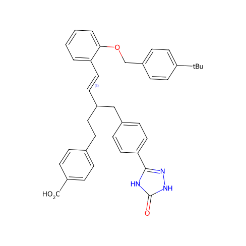 CC(C)(C)c1ccc(COc2ccccc2/C=C/C(CCc2ccc(C(=O)O)cc2)Cc2ccc(-c3n[nH]c(=O)[nH]3)cc2)cc1